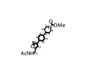 COC(=O)N1CC=C(c2ccc(-c3cc(CNC(C)=O)on3)cc2)CC1